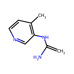 C=C(N)Nc1cnccc1C